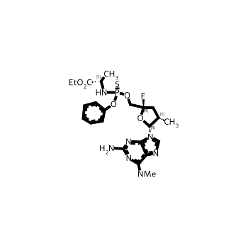 CCOC(=O)[C@H](C)NP(=S)(OC[C@]1(F)C[C@H](C)[C@H](n2cnc3c(NC)nc(N)nc32)O1)Oc1ccccc1